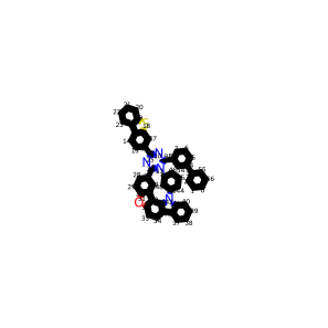 c1ccc(-c2cccc(-c3nc(-c4ccc5c(c4)sc4ccccc45)nc(-c4ccc5oc6ccc7c8ccccc8n(-c8ccccc8)c7c6c5c4)n3)c2)cc1